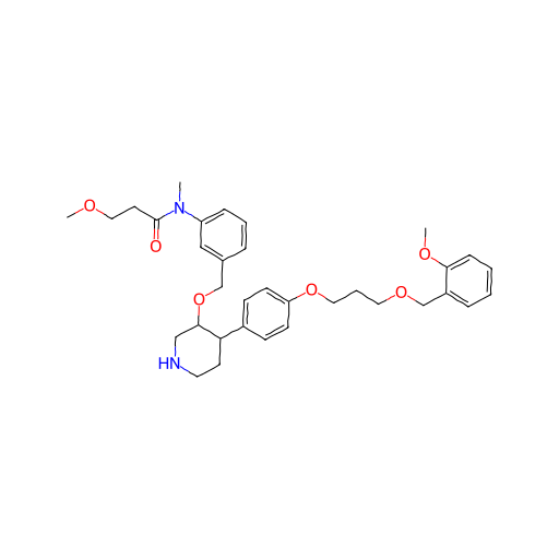 COCCC(=O)N(C)c1cccc(COC2CNCCC2c2ccc(OCCCOCc3ccccc3OC)cc2)c1